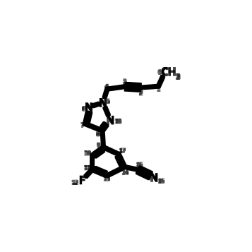 CCC#CCn1ncc(-c2cc(F)cc(C#N)c2)n1